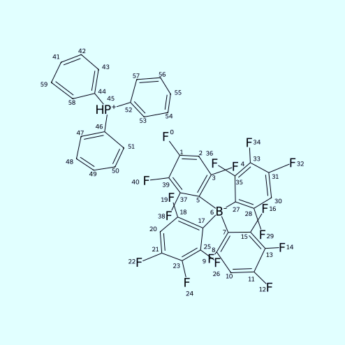 Fc1cc(F)c([B-](c2c(F)cc(F)c(F)c2F)(c2c(F)cc(F)c(F)c2F)c2c(F)cc(F)c(F)c2F)c(F)c1F.c1ccc([PH+](c2ccccc2)c2ccccc2)cc1